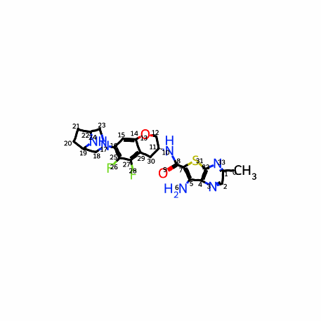 Cc1cnc2c(N)c(C(=O)N[C@H]3COc4cc(N5CC6CCC(C5)N6)c(F)c(F)c4C3)sc2n1